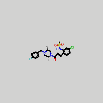 C[C@@H]1CN(Cc2ccc(F)cc2)[C@@H](C)CN1C(=O)C=Cc1ccc(Cl)cc1NS(C)(=O)=O